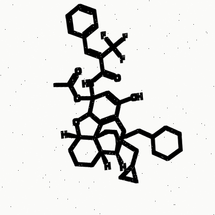 CC(=O)OC1(NC(=O)C(=Cc2ccccc2)C(F)(F)F)C=C(O)C2=C3C1O[C@H]1CCC[C@H]4[C@@H](C2)[N+](CC2CCCCC2)(CC2CC2)CC[C@]314